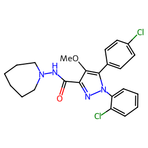 COc1c(C(=O)NN2CCCCCC2)nn(-c2ccccc2Cl)c1-c1ccc(Cl)cc1